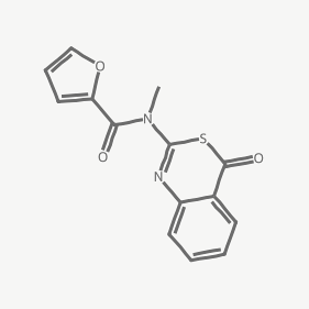 CN(C(=O)c1ccco1)c1nc2ccccc2c(=O)s1